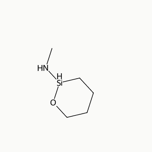 CN[SiH]1CCCCO1